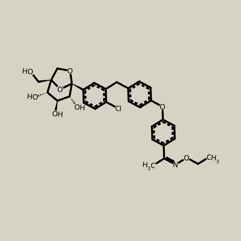 CCO/N=C(/C)c1ccc(Oc2ccc(Cc3cc([C@]45OC[C@](CO)(O4)[C@@H](O)[C@H](O)[C@H]5O)ccc3Cl)cc2)cc1